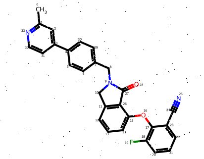 Cc1cc(-c2ccc(CN3Cc4cccc(Oc5c(F)cccc5C#N)c4C3=O)cc2)ccn1